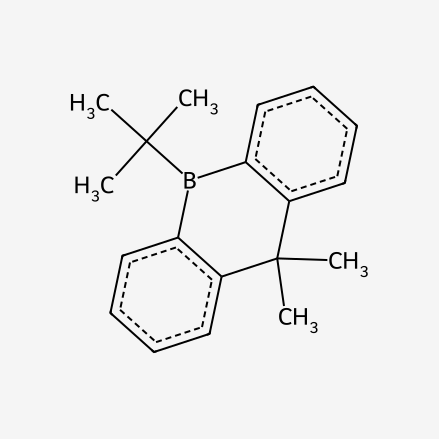 CC(C)(C)B1c2ccccc2C(C)(C)c2ccccc21